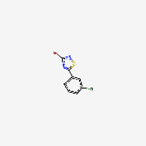 Clc1cccc(-c2nc(Br)ns2)c1